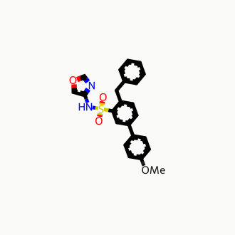 COc1ccc(-c2ccc(Cc3ccccc3)c(S(=O)(=O)Nc3cocn3)c2)cc1